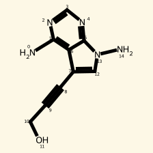 Nc1ncnc2c1c(C#CCO)cn2N